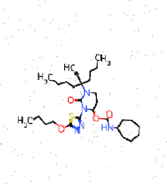 C#CC(CCCC)(CCCC)N1CCC(OC(=O)NC2CCCCCC2)N(c2nnc(OCCCC)s2)C1=O